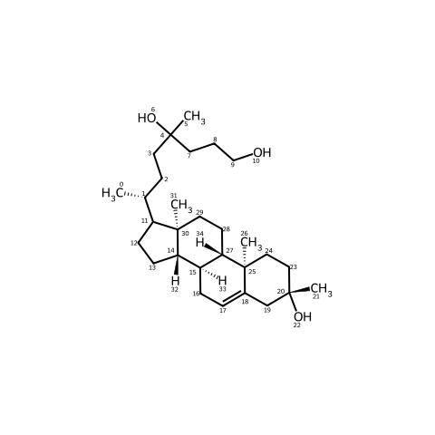 C[C@H](CCC(C)(O)CCCO)C1CC[C@H]2[C@@H]3CC=C4C[C@@](C)(O)CC[C@]4(C)[C@H]3CC[C@]12C